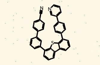 N#Cc1ccc(-c2cccc(-c3cccc4c3sc3c(-c5ccc(-c6cccnc6)cc5)cccc34)c2)cc1